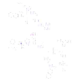 N=C(N)NCCC[C@@H]1NC(=O)[C@H](CCCCNC(=O)CCC(NC(=O)c2ccc(NN=Cc3ccccc3S(=O)(=O)O)nc2)C(=O)NCCCC[C@@H]2NC(=O)[C@@H](Cc3ccc4ccccc4c3)NC(=O)[C@H](CC(=O)O)NC(=O)CNC(=O)[C@H](CCCNC(=N)N)NC2=O)NC(=O)[C@@H](Cc2ccc3ccccc3c2)NC(=O)[C@H](CC(=O)O)NC(=O)CNC1=O